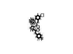 O=C(NCc1cc(Cl)ccc1-n1cnnn1)[C@@H]1CC=NN1C(=O)[CH]c1ccc(F)cc1